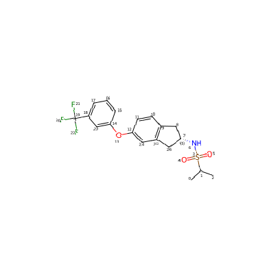 CC(C)S(=O)(=O)N[C@H]1Cc2ccc(Oc3cccc(C(F)(F)F)c3)cc2C1